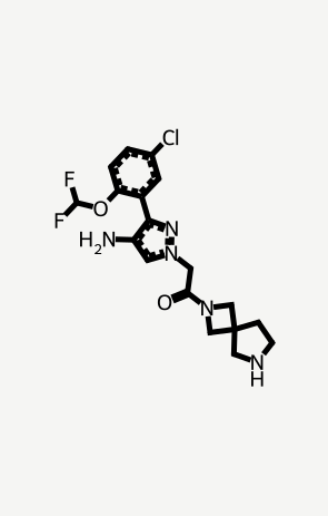 Nc1cn(CC(=O)N2CC3(CCNC3)C2)nc1-c1cc(Cl)ccc1OC(F)F